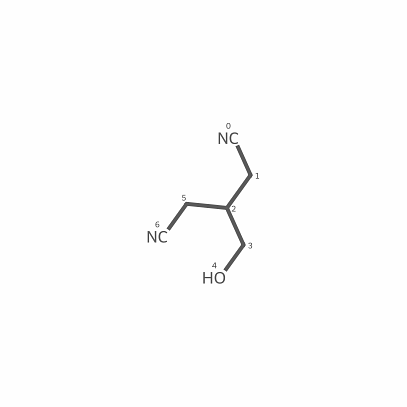 N#CCC(CO)CC#N